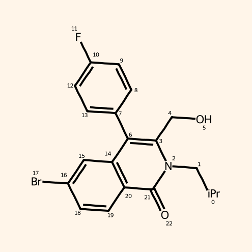 CC(C)Cn1c(CO)c(-c2ccc(F)cc2)c2cc(Br)ccc2c1=O